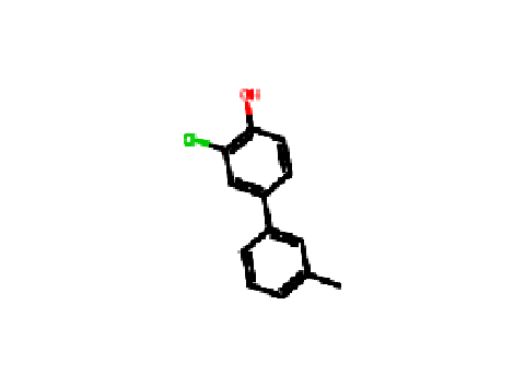 Cc1cc[c]c(-c2ccc(O)c(Cl)c2)c1